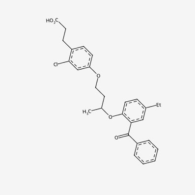 CCc1ccc(OC(C)CCOc2ccc(CCC(=O)O)c(Cl)c2)c(C(=O)c2ccccc2)c1